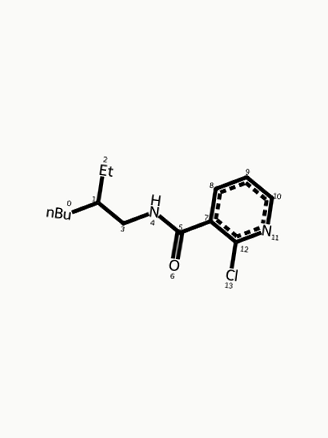 CCCCC(CC)CNC(=O)c1cccnc1Cl